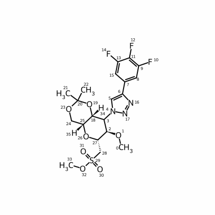 CO[C@@H]1C(n2cc(-c3cc(F)c(F)c(F)c3)nn2)[C@H]2OC(C)(C)OC[C@H]2O[C@H]1CS(=O)(=O)OC